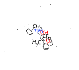 C[C@@H](NC[C@@](O)(CC(C)(C)c1cccc2c1OCC2)C(F)(F)F)c1ccccc1